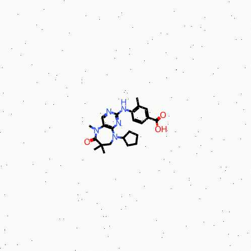 Cc1cc(C(=O)O)ccc1Nc1ncc2c(n1)N(C1CCCC1)CC(C)(C)C(=O)N2C